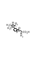 CC1NN(C)C(C)C1c1ccc(F)c(C(=O)NC[C@@H](N)C(=O)O)c1